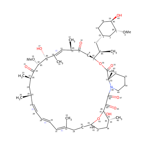 CO[C@@H]1C[C@H](C[C@@H](C)[C@@H]2CC(=O)[C@H](C)/C=C(\C)[C@@H](O)[C@@H](OC)C(=O)[C@H](C)C[C@H](C)\C=C/C=C/C=C(\C)CC[C@@H]3CC[C@@H](C)[C@@](O)(O3)C(=O)C(=O)N3CCCC[C@H]3C(=O)O2)CC[C@H]1O